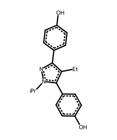 CCc1c(-c2ccc(O)cc2)nn(C(C)C)c1-c1ccc(O)cc1